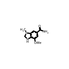 COc1cc(C(N)=O)cc2c1NCN2C